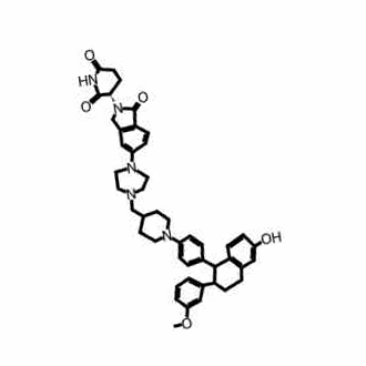 COc1cccc(C2CCc3cc(O)ccc3C2c2ccc(N3CCC(CN4CCN(c5ccc6c(c5)CN([C@H]5CCC(=O)NC5=O)C6=O)CC4)CC3)cc2)c1